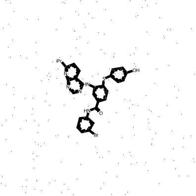 CC(C)c1ccc2c(Nc3cc(C(=O)Nc4cccc(Br)c4)ccc3Sc3ccc(O)cc3)ncnc2n1